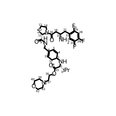 CC(C)[C@@H](NC1C=CC(CNC(=O)[C@@H]2SCCN2C(=O)C[C@H](N)Cc2cc(F)c(F)cc2F)=CC1)C(=O)OCCN1CCOCC1